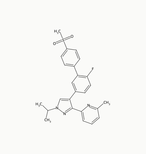 Cc1cccc(-c2nn(C(C)C)cc2-c2ccc(F)c(-c3ccc(S(C)(=O)=O)cc3)c2)n1